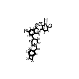 O=C1CCC(N2Cc3c(cc(F)cc3C3CCN(Cc4ccc5c(c4)CC5)CC3)C2=O)C(=O)N1